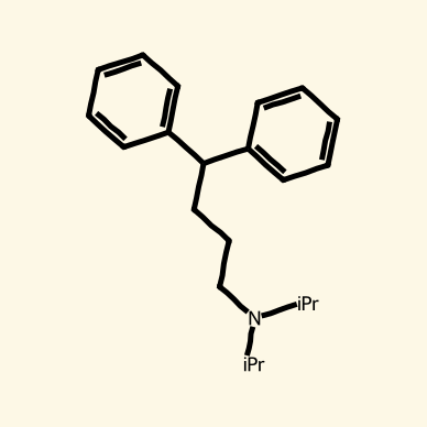 CC(C)N(CCCC(c1ccccc1)c1ccccc1)C(C)C